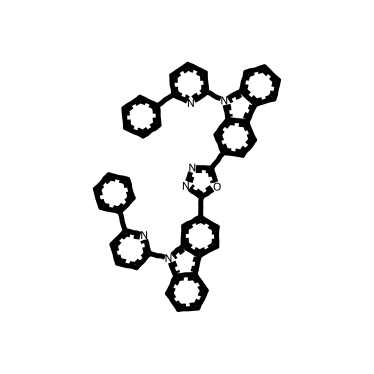 c1ccc(-c2cccc(-n3c4ccccc4c4ccc(-c5nnc(-c6ccc7c8ccccc8n(-c8cccc(-c9ccccc9)n8)c7c6)o5)cc43)n2)cc1